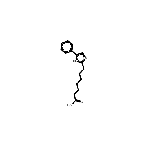 CC(=O)CCCCC[CH]c1ncc(-c2ccccc2)[nH]1